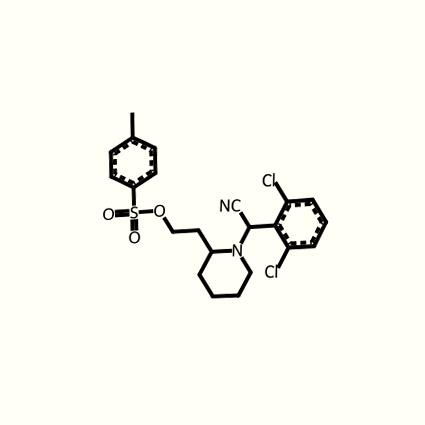 Cc1ccc(S(=O)(=O)OCCC2CCCCN2C(C#N)c2c(Cl)cccc2Cl)cc1